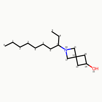 CCCCCCCC(CC)N1CC2(CC(O)C2)C1